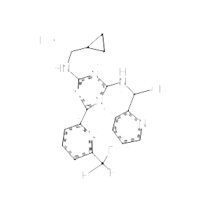 CC(Nc1nc(N[C@H](C)C2CC2)nc(-c2cccc(C(F)(F)F)n2)n1)c1ccccn1